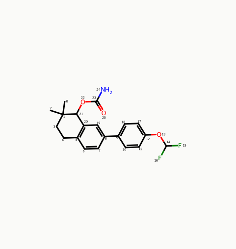 CC1(C)CCc2ccc(-c3ccc(OC(F)F)cc3)cc2C1OC(N)=O